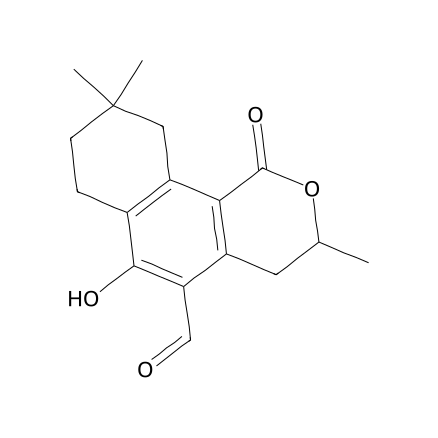 CC1Cc2c(C=O)c(O)c3c(c2C(=O)O1)CC(C)(C)CC3